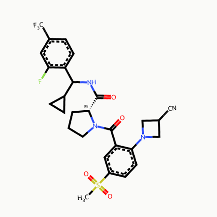 CS(=O)(=O)c1ccc(N2CC(C#N)C2)c(C(=O)N2CCC[C@@H]2C(=O)NC(c2ccc(C(F)(F)F)cc2F)C2CC2)c1